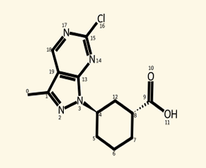 Cc1nn([C@@H]2CCC[C@@H](C(=O)O)C2)c2nc(Cl)ncc12